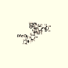 COC[C@@H]1CCCN1Cc1ccc(C(=O)Nc2cc(-c3cccs3)ccc2NC(=O)OC(C)(C)C)cc1